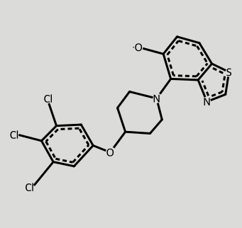 [O]c1ccc2scnc2c1N1CCC(Oc2cc(Cl)c(Cl)c(Cl)c2)CC1